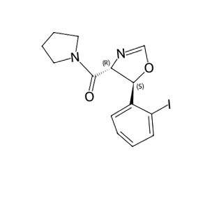 O=C([C@@H]1N=CO[C@H]1c1ccccc1I)N1CCCC1